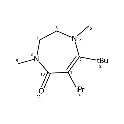 CC(C)C1=C(C(C)(C)C)N(C)CCN(C)C1=O